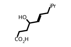 CC(C)CC=CC(O)CCC(=O)O